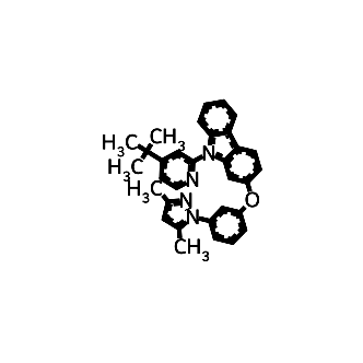 Cc1cc(C)n(-c2cccc(Oc3ccc4c5ccccc5n(-c5cc(C(C)(C)C)ccn5)c4c3)c2)n1